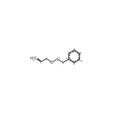 C=CCOSCc1ccccc1